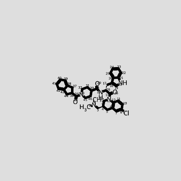 CN(C)C[C@@H]1Cc2cc(Cl)ccc2N(C(=O)[C@@H](Cc2c[nH]c3ccccc23)NC(=O)C2CCN(C(=O)C3Cc4ccccc4C3)CC2)C1